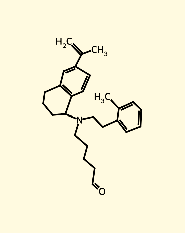 C=C(C)c1ccc2c(c1)CCCC2N(CCCCC=O)CCc1ccccc1C